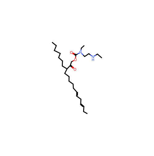 CCC=CCC=CCCCCCC(CCCCCCC)C(=O)COC(=O)N(CC)CCNCC